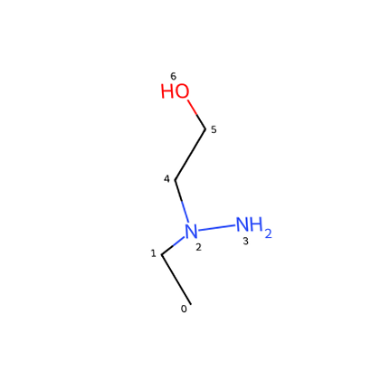 CCN(N)CCO